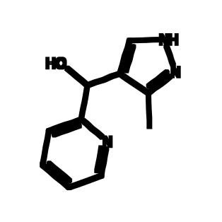 Cc1n[nH]cc1C(O)c1ccccn1